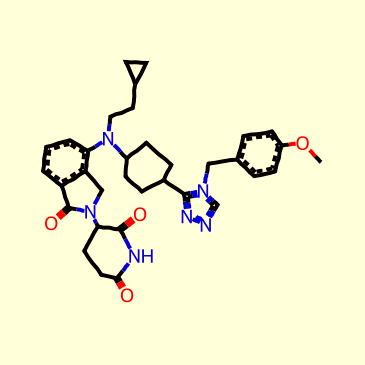 COc1ccc(Cn2cnnc2C2CCC(N(CCC3CC3)c3cccc4c3CN(C3CCC(=O)NC3=O)C4=O)CC2)cc1